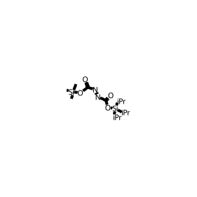 CC(C)[Si](OC(=O)N=NC(=O)O[Si](C)(C)C)(C(C)C)C(C)C